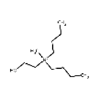 CCCC[N+](C)(CCO)CCCC